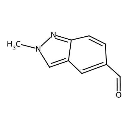 Cn1cc2cc(C=O)ccc2n1